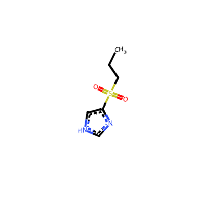 CCCS(=O)(=O)c1c[nH]cn1